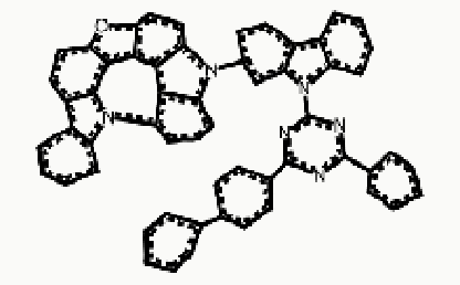 c1ccc(-c2ccc(-c3nc(-c4ccccc4)nc(-n4c5ccccc5c5ccc(-n6c7ccc8oc9ccc%10c%11ccccc%11n%11c%12cccc6c%12c7c8c9c%10%11)cc54)n3)cc2)cc1